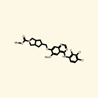 COc1cc2c(Nc3ccc(Cl)c(Cl)c3F)ncnc2cc1OCC1CC2CN(C(=O)OC(C)(C)C)CC2C1